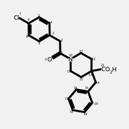 O=C(Cc1ccc(Cl)cc1)N1CCC(Cc2ccccc2)(C(=O)O)CC1